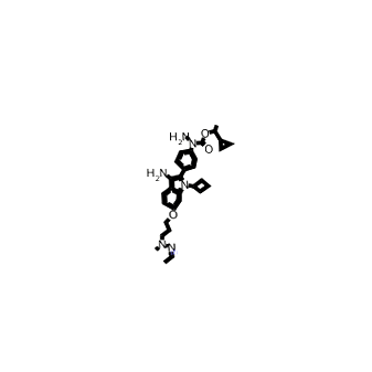 C/C=N\N(C)CCCOc1ccc2c(N)c(-c3ccc(N(N)C(=O)OC(C)C4CC4)cc3)n(C3CCC3)c2c1